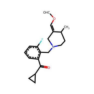 CC1CCN(Cc2c(F)cccc2C(=O)C2CC2)C/C1=C/OC=O